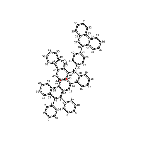 c1ccc(-c2c(-c3ccccc3)c3cc(-c4ccccc4N(c4ccc(-c5cc6ccccc6c6ccccc56)cc4)c4cccc5c4oc4ccccc45)ccc3c3ccccc23)cc1